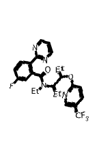 CCC(Oc1ccc(C(F)(F)F)cn1)C(CC)N(CC)C(=O)c1cc(F)ccc1-c1ncccn1